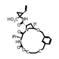 C=C[C@@H]1C[C@]1(NC(=O)[C@@H]1C[C@@H]2CN1C(=O)[C@H](C(C)C)NC(=O)OCCCCCc1cccc(c1)CO2)C(=O)O